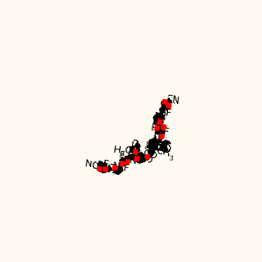 CC1(C)COCCC1n1c(Cc2cc(F)c(-c3cccc(OCc4ccc(C#N)cc4F)n3)cc2F)nc2ccc(C(=O)OC(=O)c3ccc4nc(Cc5cc(F)c(-c6cccc(OCc7ccc(C#N)cc7F)n6)cc5F)n(C5CCOCC5(C)C)c4c3)cc21